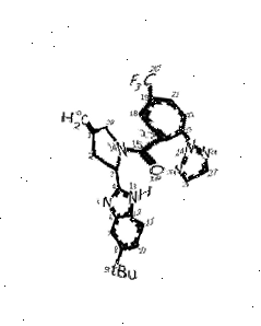 C=C1CC(c2nc3cc(C(C)(C)C)ccc3[nH]2)N(C(=O)c2cc(C(F)(F)F)ccc2-n2nccn2)C1